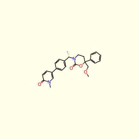 COCC1(c2ccccc2)CCN([C@@H](C)c2ccc(-c3ccc(=O)n(C)c3)cc2)C(=O)O1